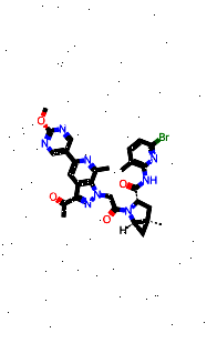 COc1ncc(-c2cc3c(C(C)=O)nn(CC(=O)N4[C@H](C(=O)Nc5nc(Br)ccc5C)C[C@@]5(C)C[C@@H]45)c3c(C)n2)cn1